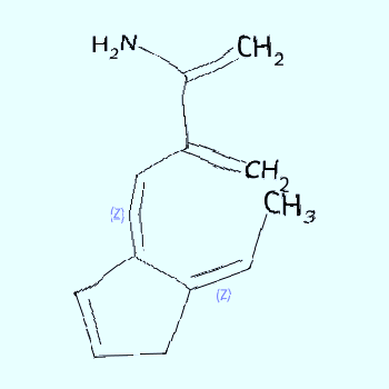 C=C(N)C(=C)/C=C1/C=CC/C1=C/C